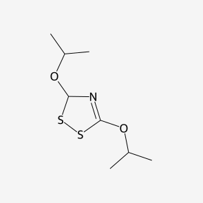 CC(C)OC1=NC(OC(C)C)SS1